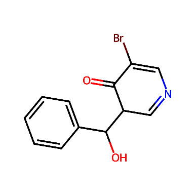 O=C1C(Br)=CN=CC1C(O)c1ccccc1